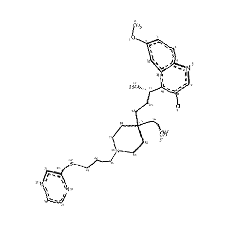 COc1ccc2ncc(Cl)c([C@@H](O)CCC3(CO)CCN(CCCSc4cnccn4)CC3)c2c1